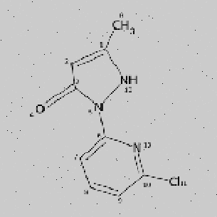 Cc1cc(=O)n(-c2cccc(Cl)n2)[nH]1